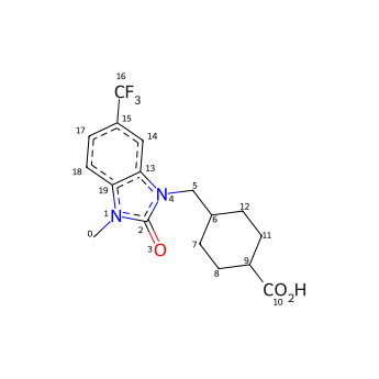 Cn1c(=O)n(CC2CCC(C(=O)O)CC2)c2cc(C(F)(F)F)ccc21